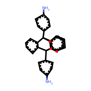 Nc1ccc(C23c4ccccc4C(c4ccc(N)cc4)(c4ccccc42)c2ccccc23)cc1